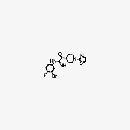 N=C(Nc1ccc(F)c(Br)c1)C(=O)C1CCN(c2nccs2)CC1